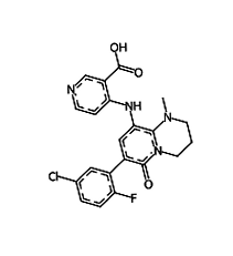 CN1CCCn2c1c(Nc1ccncc1C(=O)O)cc(-c1cc(Cl)ccc1F)c2=O